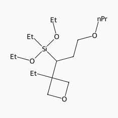 CCCOCCC(C1(CC)COC1)[Si](CC)(OCC)OCC